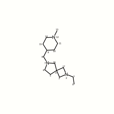 CCN1CC2(CCN(CC3CCN(C)CC3)C2)C1